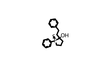 O[C@@]1(CCc2ccccc2)CCCP1(=S)c1ccccc1